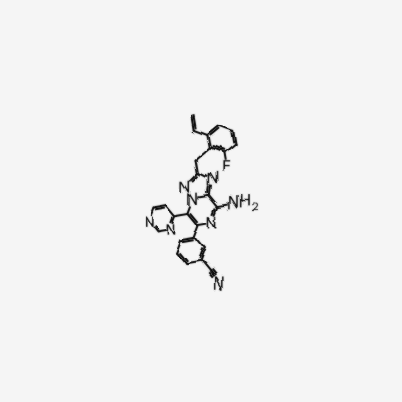 C=Cc1cccc(F)c1Cc1nc2c(N)nc(-c3cccc(C#N)c3)c(-c3ccncn3)n2n1